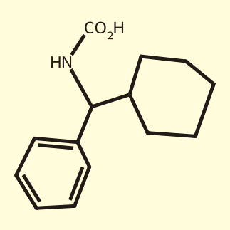 O=C(O)N[C](c1ccccc1)C1CCCCC1